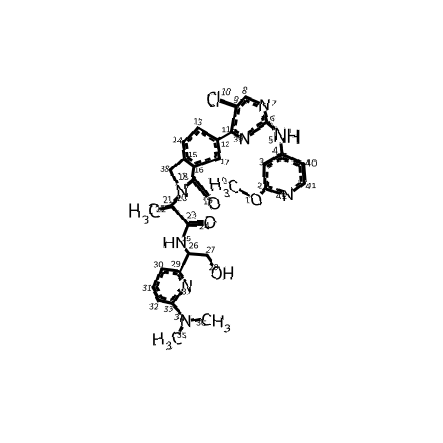 COc1cc(Nc2ncc(Cl)c(-c3ccc4c(c3)C(=O)N(C(C)C(=O)NC(CO)c3cccc(N(C)C)n3)C4)n2)ccn1